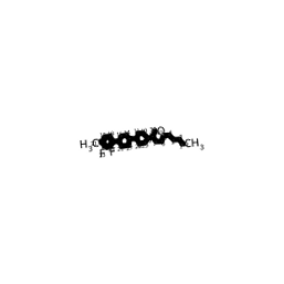 CCCCCC1CCC(C2CCC(C3CCC(c4ccc(C)c(F)c4F)CC3)CC2)CO1